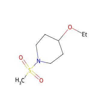 [CH2]COC1CCN(S(C)(=O)=O)CC1